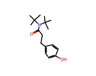 CC(C)(C)N(C(=O)CCc1ccc(O)cc1)C(C)(C)C